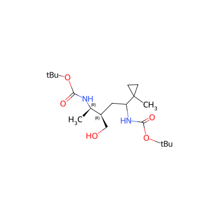 C[C@@H](NC(=O)OC(C)(C)C)[C@H](CO)CC(NC(=O)OC(C)(C)C)C1(C)CC1